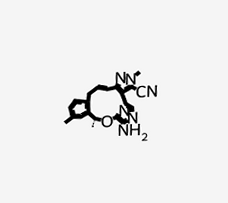 Cc1ccc2c(c1)[C@@H](C)Oc1nc(cnc1N)-c1c(nn(C)c1C#N)/C=C/C2